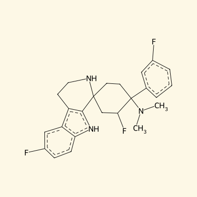 CN(C)C1(c2cccc(F)c2)CCC2(CC1F)NCCc1c2[nH]c2ccc(F)cc12